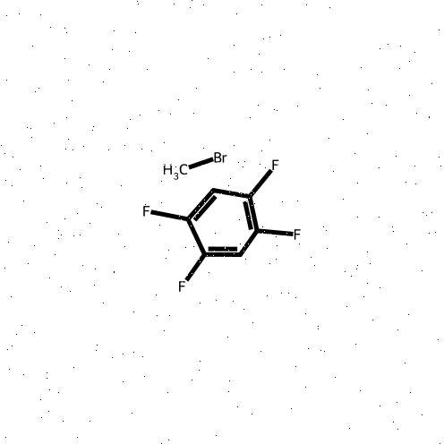 CBr.Fc1cc(F)c(F)cc1F